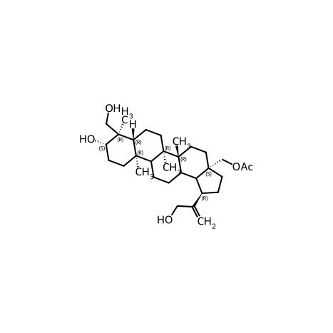 C=C(CO)[C@@H]1CC[C@]2(COC(C)=O)CC[C@]3(C)C(CCC4[C@@]5(C)CC[C@H](O)[C@@](C)(CO)[C@@H]5CC[C@]43C)C12